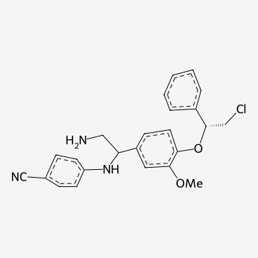 COc1cc(C(CN)Nc2ccc(C#N)cc2)ccc1O[C@@H](CCl)c1ccccc1